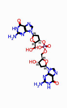 Nc1nc2c(ncn2[C@H]2C[C@H](OP(=O)(O)OC[C@H]3O[C@@H](n4cnc5c(=O)[nH]c(N)nc54)C[C@@H]3O)[C@@H](CO)O2)c(=O)[nH]1